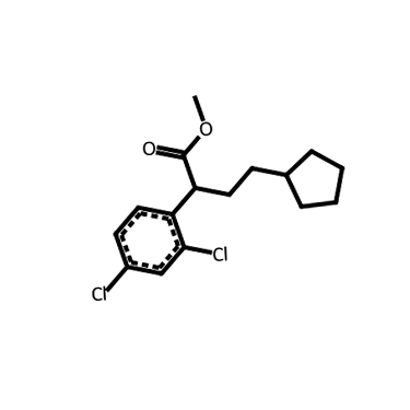 COC(=O)C(CCC1CCCC1)c1ccc(Cl)cc1Cl